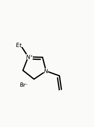 C=CN1C=[N+](CC)CC1.[Br-]